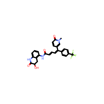 Cn1cc(C(=CC=CC(=O)Nc2cccc3c2CC(O)C(=O)N3)c2ccc(C(F)(F)F)cc2)ccc1=O